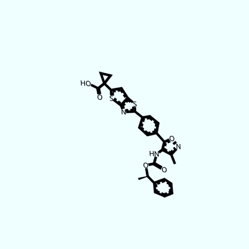 Cc1noc(-c2ccc(-c3nc4sc(C5(C(=O)O)CC5)cc4s3)cc2)c1NC(=O)O[C@H](C)c1ccccc1